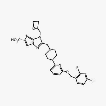 O=C(O)c1cn2nc(CN3CCC(c4cccc(OCc5ccc(Cl)cc5F)n4)CC3)n(CC3CCO3)c2n1